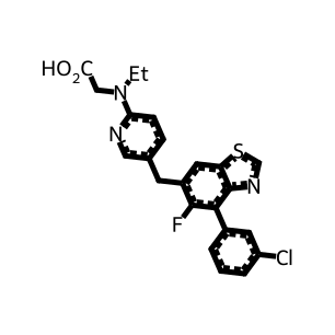 CCN(CC(=O)O)c1ccc(Cc2cc3scnc3c(-c3cccc(Cl)c3)c2F)cn1